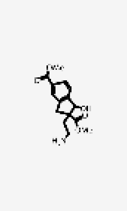 COC(=O)c1ccc2c(c1)CC(CCN)(C(=O)OC)C2O